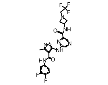 Cc1nsc(Nc2cncc(C(=O)NC3CN(CC(F)(F)F)C3)n2)c1C(=O)Nc1ccc(F)c(F)c1